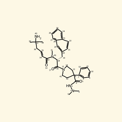 CN(C)NC(=O)C1(c2ccccc2)CCN(C(=O)[C@@H](Cc2ccc3ccccc3c2)N(C)C(=O)/C=C/CC(C)(C)N)CC1